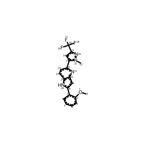 COc1ccccc1-c1cc2nc(-c3cc(C(F)(F)F)nn3C)ccc2[nH]1